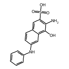 Nc1c(S(=O)(=O)O)cc2ccc(Nc3ccccc3)cc2c1O